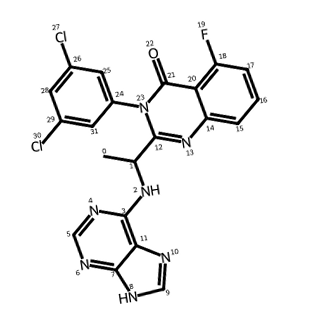 CC(Nc1ncnc2[nH]cnc12)c1nc2cccc(F)c2c(=O)n1-c1cc(Cl)cc(Cl)c1